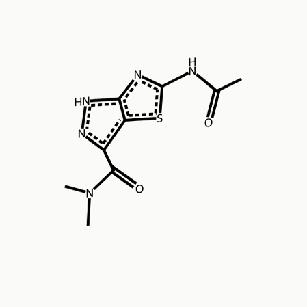 CC(=O)Nc1nc2[nH]nc(C(=O)N(C)C)c2s1